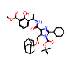 COC(=O)c1cccc(C(C)NC(=O)c2nc(C3CCCCC3)n(C(=O)OC(C)(C)C)c2COC23CC4CC(CC(C4)C2)C3)c1O